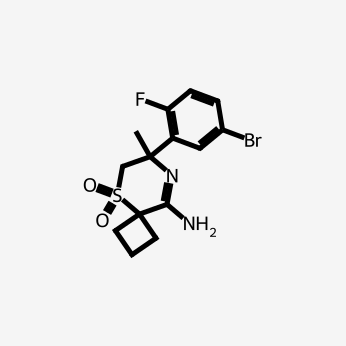 CC1(c2cc(Br)ccc2F)CS(=O)(=O)C2(CCC2)C(N)=N1